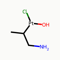 C[CH](CN)[Pt]([OH])[Cl]